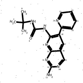 CC(C)(C)NC(=O)Nc1nc2nc(N)ncc2cc1-c1ccccn1